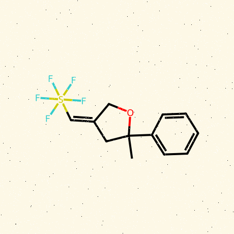 CC1(c2ccccc2)C/C(=C/S(F)(F)(F)(F)F)CO1